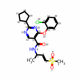 CC(C=CS(C)(=O)=O)NC(=O)c1cnc(C2CCCC2)nc1Oc1ccccc1Cl